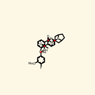 COc1cc(CNC(=O)c2ccc(N3C4CCC3CC(NC(=O)c3cccc(OC)c3C)C4)nc2)ccc1F